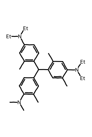 CCN(CC)c1ccc(C(c2ccc(N(C)C)c(C)c2)c2cc(C)c(N(CC)CC)cc2C)c(C)c1